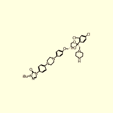 CCC(C)n1ncn(-c2ccc(N3CCN(c4ccc(OC[C@@H]5CO[C@@](CN6CCNCC6)(c6ccc(Cl)cc6Cl)O5)cc4)CC3)cc2)c1=O